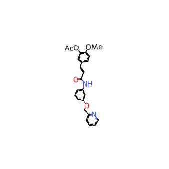 COc1ccc(/C=C/C(=O)Nc2cccc(OCc3ccccn3)c2)cc1OC(C)=O